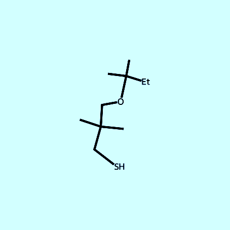 CCC(C)(C)OCC(C)(C)CS